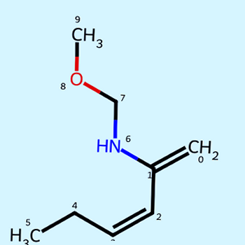 C=C(/C=C\CC)NCOC